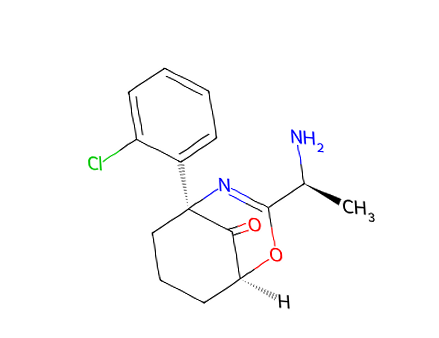 C[C@H](N)C1=N[C@]2(c3ccccc3Cl)CCC[C@H](O1)C2=O